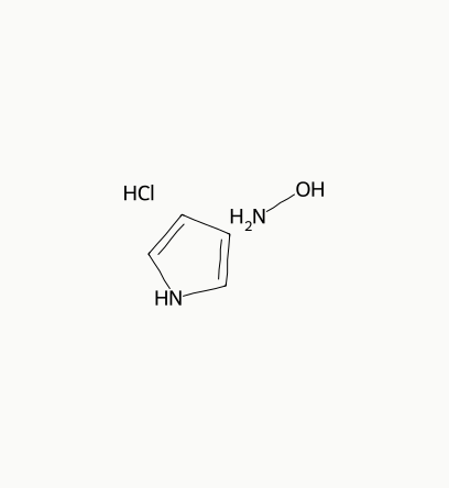 Cl.NO.c1cc[nH]c1